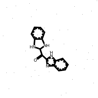 O=C(c1nc2ccccc2[nH]1)C1Nc2ccccc2N1